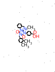 CCN(Cc1ccccc1)c1nc(=O)n(Cc2ccc(C)c(C)c2)c(=O)n1-c1ccc(C(=O)O)cc1